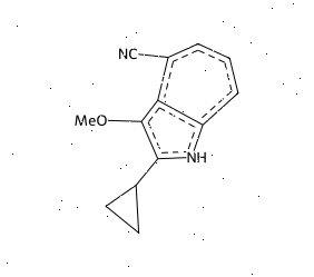 COc1c(C2CC2)[nH]c2cccc(C#N)c12